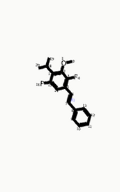 COc1c(F)c(/C=C/c2ccccc2)cc(F)c1C(C)C